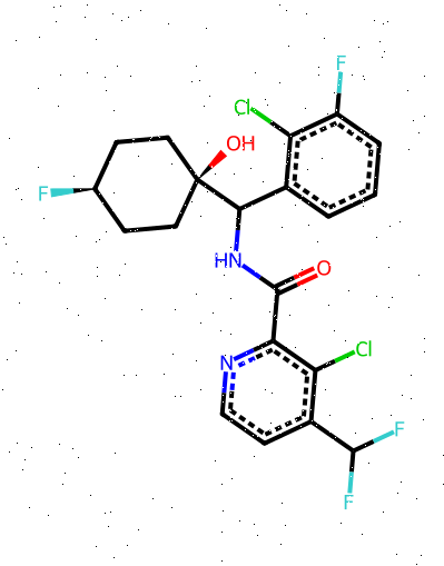 O=C(NC(c1cccc(F)c1Cl)[C@]1(O)CC[C@@H](F)CC1)c1nccc(C(F)F)c1Cl